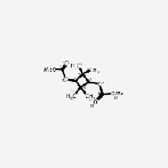 COC(=O)OC1C(C)(C)C(OC(=O)OC)C1(C)C